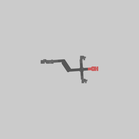 CCCCC/C=C/[Si](O)(C(C)C)C(C)C